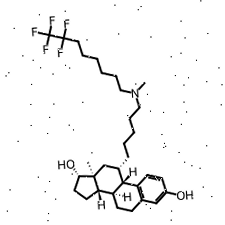 CN(CCCCCCC(F)(F)C(F)(F)F)CCCCC[C@H]1C[C@]2(C)[C@@H](O)CC[C@H]2[C@@H]2CCc3cc(O)ccc3[C@@H]12